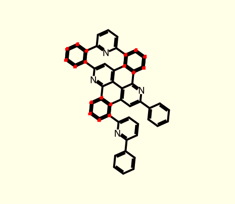 c1ccc(-c2cccc(-c3ccccc3-c3cc(-c4ccccc4)nc(-c4ccccc4)c3-c3c(-c4ccccc4-c4cccc(-c5ccccc5)n4)cc(-c4ccccc4)nc3-c3ccccc3)n2)cc1